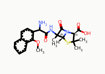 COc1c(C(N)C(=O)NC2(C)C(=O)N3[C@@H](C(=O)O)C(C)(C)S[C@@H]32)ccc2ccccc12